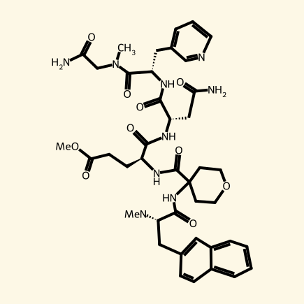 CN[C@@H](Cc1ccc2ccccc2c1)C(=O)NC1(C(=O)N[C@@H](CCC(=O)OC)C(=O)N[C@@H](CC(N)=O)C(=O)N[C@@H](Cc2cccnc2)C(=O)N(C)CC(N)=O)CCOCC1